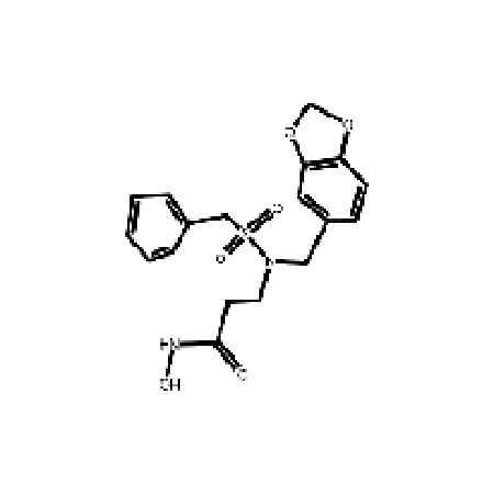 O=C(CCN(Cc1ccc2c(c1)OCO2)S(=O)(=O)Cc1ccccc1)NO